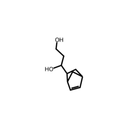 OCCC(O)C1CC2C=CC1C2